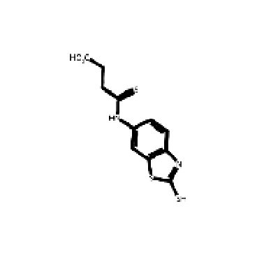 O=C(O)CCC(=S)Nc1ccc2nc(S)sc2c1